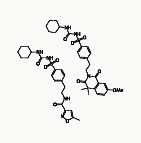 COc1ccc2c(c1)C(=O)N(CCc1ccc(S(=O)(=O)NC(=O)NC3CCCCC3)cc1)C(=O)C2(C)C.Cc1cc(C(=O)NCCc2ccc(S(=O)(=O)NC(=O)NC3CCCCC3)cc2)no1